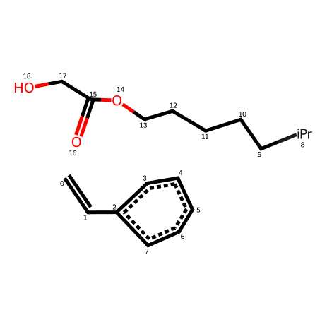 C=Cc1ccccc1.CC(C)CCCCCOC(=O)CO